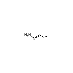 C[CH]C=NN